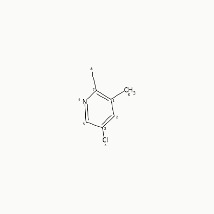 Cc1cc(Cl)cnc1I